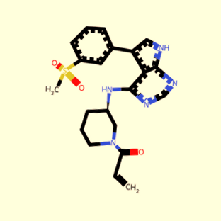 C=CC(=O)N1CCC[C@@H](Nc2ncnc3[nH]cc(-c4cccc(S(C)(=O)=O)c4)c23)C1